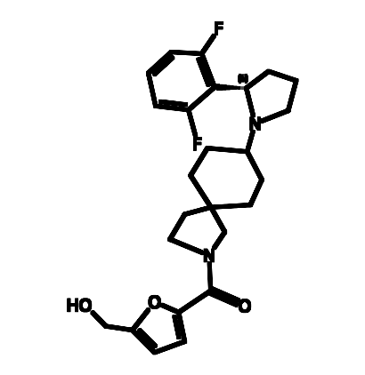 O=C(c1ccc(CO)o1)N1CCC2(CCC(N3CCC[C@H]3c3c(F)cccc3F)CC2)C1